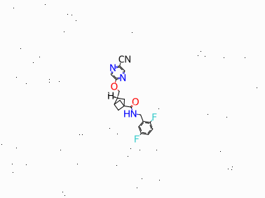 N#Cc1cnc(OC[C@@H]2CC3(C(=O)NCc4cc(F)ccc4F)CC2C3)cn1